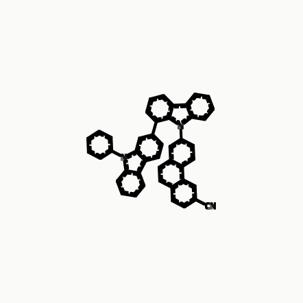 N#Cc1ccc2ccc3cc(-n4c5ccccc5c5cccc(-c6ccc7c8ccccc8n(-c8ccccc8)c7c6)c54)ccc3c2c1